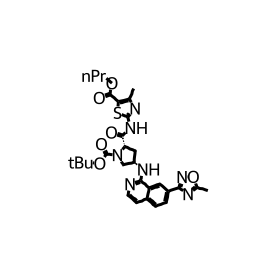 CCCOC(=O)c1sc(NC(=O)[C@@H]2C[C@H](Nc3nccc4ccc(-c5noc(C)n5)cc34)CN2C(=O)OC(C)(C)C)nc1C